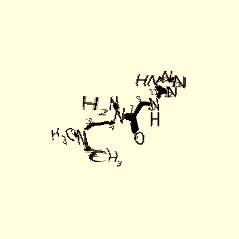 CN(C)CCN(N)C(=O)CNc1nnn[nH]1